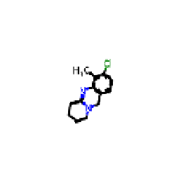 Cc1c(Cl)ccc2c1N=C1CCCCN1C2